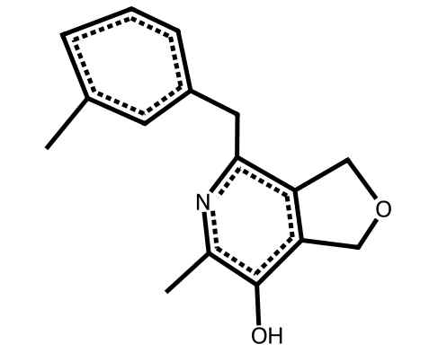 Cc1cccc(Cc2nc(C)c(O)c3c2COC3)c1